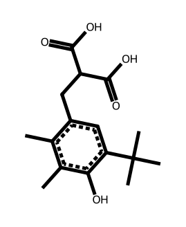 Cc1c(CC(C(=O)O)C(=O)O)cc(C(C)(C)C)c(O)c1C